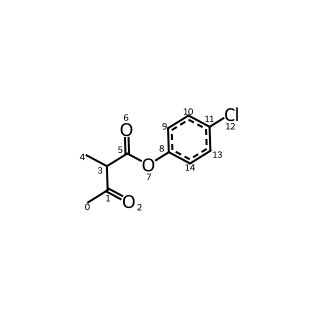 CC(=O)C(C)C(=O)Oc1ccc(Cl)cc1